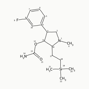 CN1CC(c2cccc(F)c2)C(OC(N)=O)C1CC[Si](C)(C)C